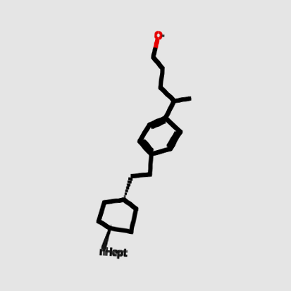 CCCCCCC[C@H]1CC[C@H](CCc2ccc(C(C)CCC[O])cc2)CC1